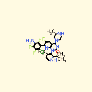 CC1=C(n2c(=O)nc(N3CCN[C@H](C)C3)c3cc(F)c(-c4c(F)c(N)c(F)c(F)c4Cl)nc32)C(C(C)C)NC=C1